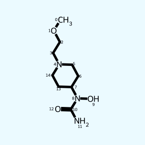 COCCN1CCC(N(O)C(N)=O)CC1